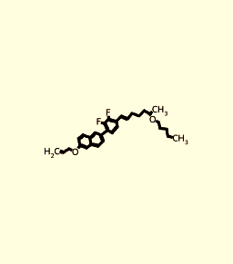 C=CCOc1ccc2cc(-c3ccc(C=CCCCC(C)OCCCCC)c(F)c3F)ccc2c1